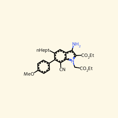 CCCCCCCc1cc2c(N)c(C(=O)OCC)n(CC(=O)OCC)c2c(C#N)c1-c1ccc(OC)cc1